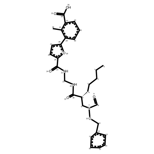 CCCCC[C@H](CN(C=O)OCc1ccccc1)C(=O)NCNC(=O)c1ccc(-c2cccc(C(=O)O)c2C)o1